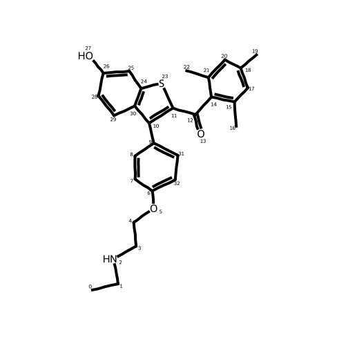 CCNCCOc1ccc(-c2c(C(=O)c3c(C)cc(C)cc3C)sc3cc(O)ccc23)cc1